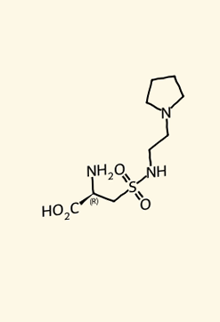 N[C@@H](CS(=O)(=O)NCCN1CCCC1)C(=O)O